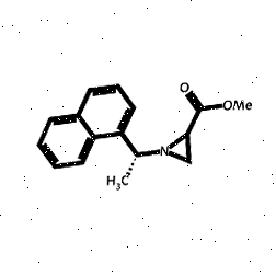 COC(=O)C1CN1[C@H](C)c1cccc2ccccc12